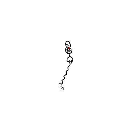 CC(C)OCCCCCCCCCN1CCC(c2cnc(N3C4CCC3CN(C(C)C)C4)nc2)CC1